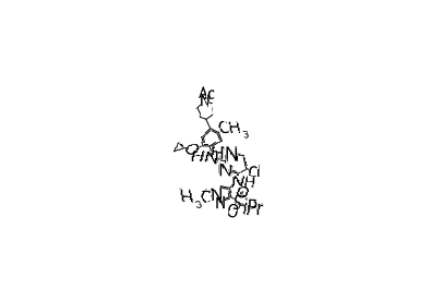 CC(=O)N1CCC(c2cc(OC3CC3)c(NC3N=C(Nc4cn(C)nc4S(=O)(=O)C(C)C)C(Cl)=CN3)cc2C)CC1